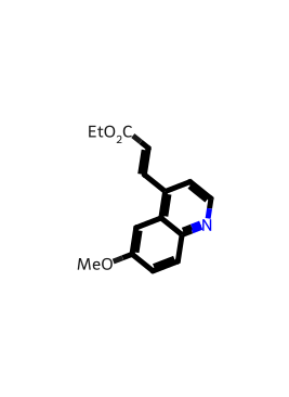 CCOC(=O)C=Cc1ccnc2ccc(OC)cc12